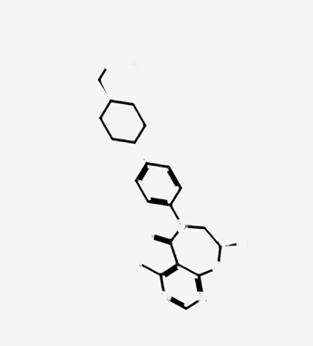 C[C@@H]1CN(c2ccc([C@H]3CC[C@H](CC(=O)O)CC3)cc2)C(=O)c2c(Cl)ncnc2O1